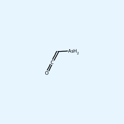 O=C=C[AsH2]